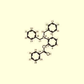 O=C(Oc1ccccc1N(Cc1ccccc1)Cc1ccccc1)c1ccccc1